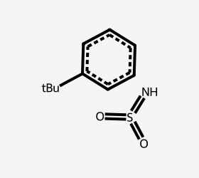 CC(C)(C)c1ccccc1.N=S(=O)=O